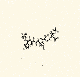 Cn1cc2cc(NC(=O)c3ccc(N4CCC(N(C(=O)OC(C)(C)C)C5CC5)CC4)c4cn(C)nc34)cc(CNS(C)(=O)=O)c2n1